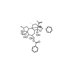 C=C(C)[C@]12C[C@@H](C)C34O[C@](c5ccccc5)(O[C@@H]1C3[C@H](O)[C@@](O)(COC(=O)c1ccccc1)[C@@H](O)[C@@]1(O)C4C[C@H](C)[C@@H]1O)O2